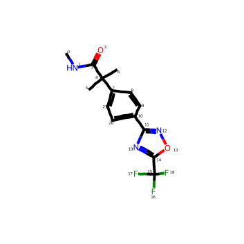 CNC(=O)C(C)(C)c1ccc(-c2noc(C(F)(F)F)n2)cc1